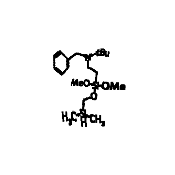 CO[Si](CCN(Cc1ccccc1)C(C)(C)C)(OC)OC[SiH](C)C